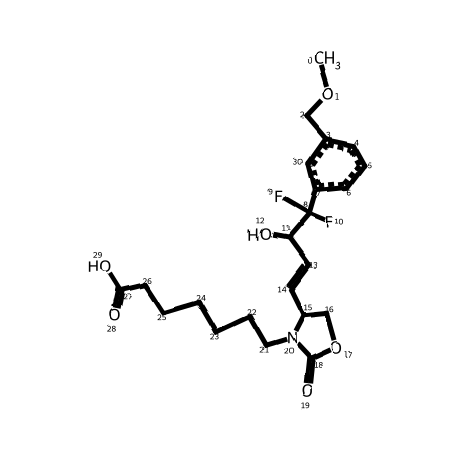 COCc1cccc(C(F)(F)C(O)/C=C/C2COC(=O)N2CCCCCCC(=O)O)c1